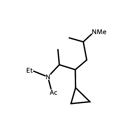 CCN(C(C)=O)C(C)C(CC(C)NC)C1CC1